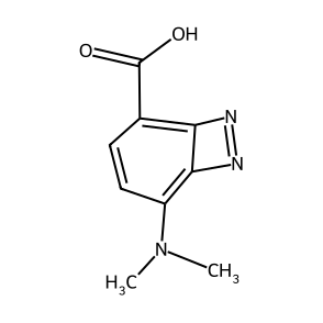 CN(C)c1ccc(C(=O)O)c2c1N=N2